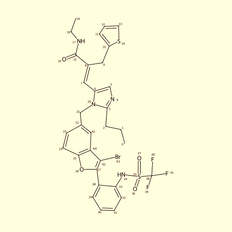 CCCc1ncc(/C=C(\Cc2cccs2)C(=O)NCC)n1Cc1ccc2oc(-c3ccccc3NS(=O)(=O)C(F)(F)F)c(Br)c2c1